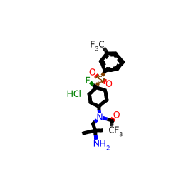 CC(C)(N)CN(C(=O)C(F)(F)F)C1CCC(F)(S(=O)(=O)c2cccc(C(F)(F)F)c2)CC1.Cl